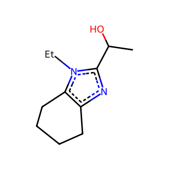 CCn1c(C(C)O)nc2c1CCCC2